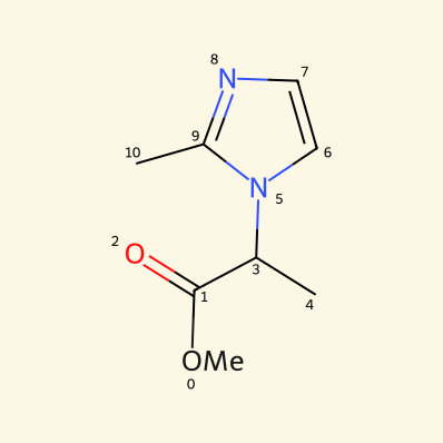 COC(=O)C(C)n1ccnc1C